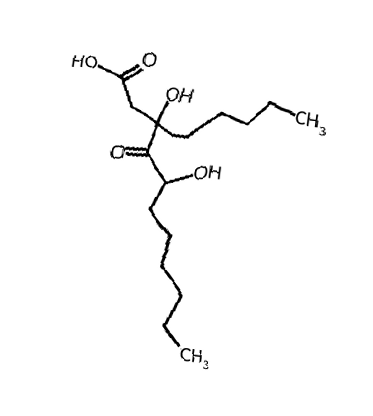 CCCCCCC(O)C(=O)C(O)(CCCCC)CC(=O)O